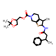 CC(CC(=O)NC1SC2=C(CCN(C(=O)OCC3COC(C)(C)O3)C2)C1C#N)c1ccccc1